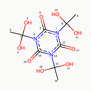 CC(O)(O)n1c(=O)n(C(C)(O)O)c(=O)n(C(C)(O)O)c1=O